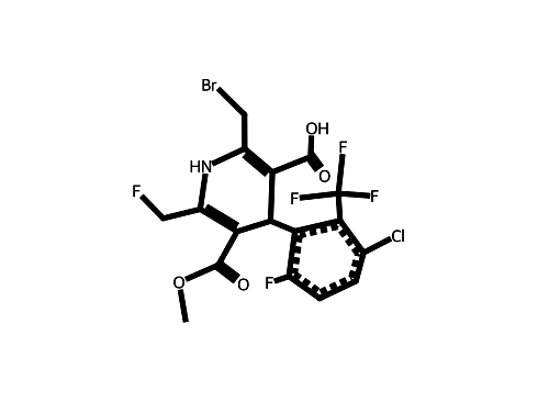 COC(=O)C1=C(CF)NC(CBr)=C(C(=O)O)C1c1c(F)ccc(Cl)c1C(F)(F)F